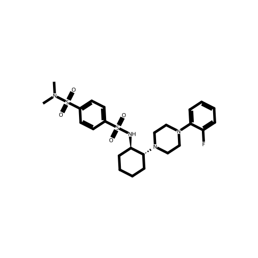 CN(C)S(=O)(=O)c1ccc(S(=O)(=O)N[C@@H]2CCCC[C@H]2N2CCN(c3ccccc3F)CC2)cc1